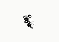 COc1cc2nccc(N[C@H](C)c3cccc(C#N)c3C)c2cc1O[C@H]1CCOC1